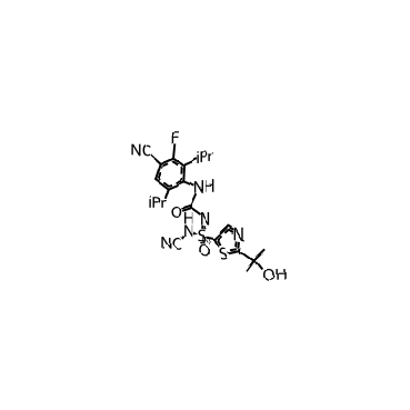 CC(C)c1cc(C#N)c(F)c(C(C)C)c1NC(=O)N=[S@](=O)(NC#N)c1cnc(C(C)(C)O)s1